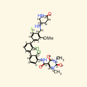 COc1cc(-c2cccc(-c3cccc(NC(=O)c4cn(C)c(=O)n(C)c4=O)c3Cl)c2Cl)cc(F)c1CN[C@@H]1CCC(=O)NC1